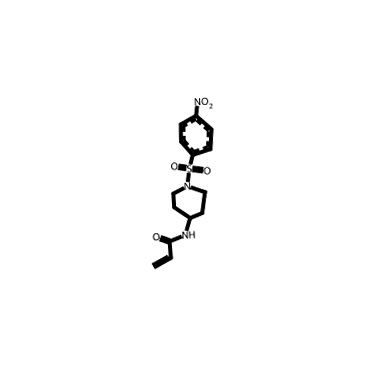 C=CC(=O)NC1CCN(S(=O)(=O)c2ccc([N+](=O)[O-])cc2)CC1